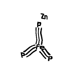 [P]#[Fe](#[P])#[P].[Zn]